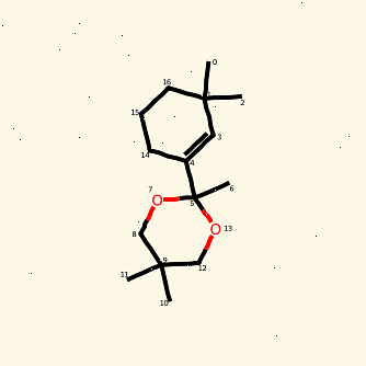 CC1(C)C=C(C2(C)OCC(C)(C)CO2)CCC1